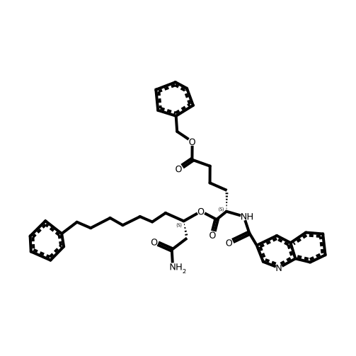 NC(=O)C[C@H](CCCCCCCc1ccccc1)OC(=O)[C@H](CCCC(=O)OCc1ccccc1)NC(=O)c1cnc2ccccc2c1